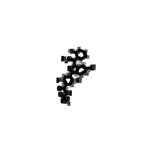 C=C(c1ccccc1F)c1nn(-c2cc(F)c(C(=O)NS(C)(=O)=O)cc2Cl)c2ccc(Cl)cc12